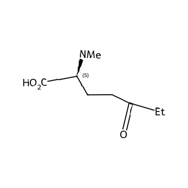 CCC(=O)CC[C@H](NC)C(=O)O